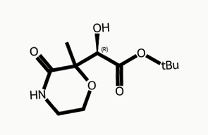 CC(C)(C)OC(=O)[C@H](O)C1(C)OCCNC1=O